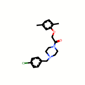 Cc1ccc(C)c(OCC(=O)N2CCN(Cc3ccc(Cl)cc3)CC2)c1